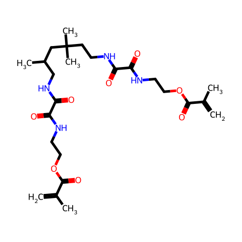 C=C(C)C(=O)OCCNC(=O)C(=O)NCCC(C)(C)CC(C)CNC(=O)C(=O)NCCOC(=O)C(=C)C